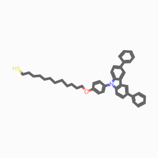 SCCCCCCCCCCCCOc1ccc(-n2c3ccc(-c4ccccc4)cc3c3cc(-c4ccccc4)ccc32)cc1